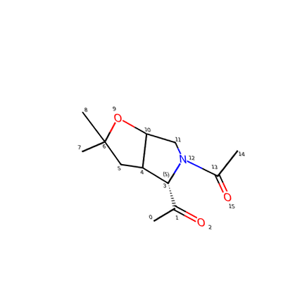 CC(=O)[C@@H]1C2CC(C)(C)OC2CN1C(C)=O